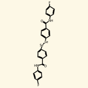 O=C(Nc1ccc(F)cc1)c1ccc([Se][Se]c2ccc(C(=O)Nc3ccc(F)cc3)cc2)cc1